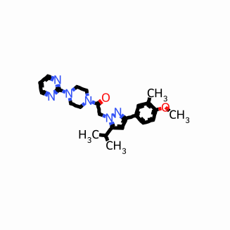 COc1ccc(-c2cc(C(C)C)n(CC(=O)N3CCN(c4ncccn4)CC3)n2)cc1C